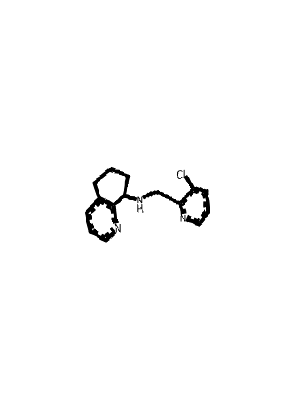 Clc1cccnc1CNC1CCCc2cccnc21